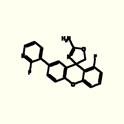 NC1=NC2(CO1)c1cc(-c3cccnc3F)ccc1Oc1cccc(F)c12